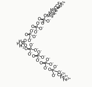 O.O.O.O=P([O-])([O-])[O-].O=P([O-])([O-])[O-].O=P([O-])([O-])[O-].O=P([O-])([O-])[O-].O=P([O-])([O-])[O-].O=P([O-])([O-])[O-].O=P([O-])([O-])[O-].[Ca+2].[Ca+2].[Ca+2].[Fe+3].[Fe+3].[Fe+3].[Mg+2].[Mg+2].[Mg+2]